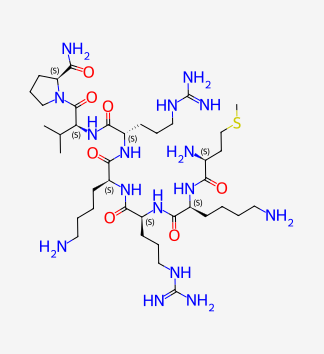 CSCC[C@H](N)C(=O)N[C@@H](CCCCN)C(=O)N[C@@H](CCCNC(=N)N)C(=O)N[C@@H](CCCCN)C(=O)N[C@@H](CCCNC(=N)N)C(=O)N[C@H](C(=O)N1CCC[C@H]1C(N)=O)C(C)C